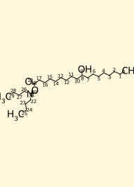 CCCCCCCCC(O)CCCCCCCCC(=O)ON(CCCC)CCCC